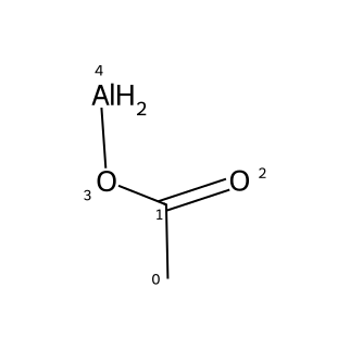 CC(=O)[O][AlH2]